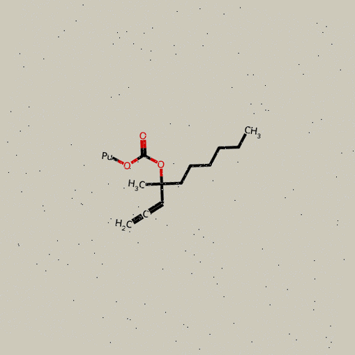 C=C=CC(C)(CCCCCC)OC(=O)[O][Pu]